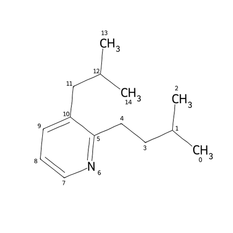 CC(C)CCc1ncccc1CC(C)C